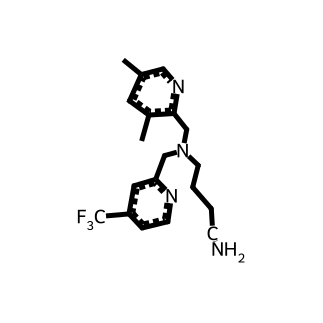 Cc1cnc(CN(CCCCN)Cc2cc(C(F)(F)F)ccn2)c(C)c1